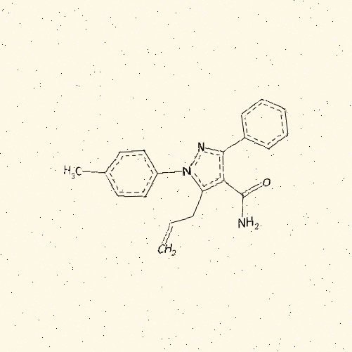 C=CCc1c(C(N)=O)c(-c2ccccc2)nn1-c1ccc(C)cc1